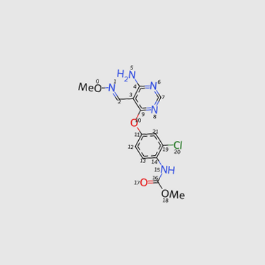 CON=Cc1c(N)ncnc1Oc1ccc(NC(=O)OC)c(Cl)c1